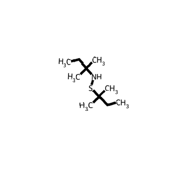 CCC(C)(C)NSC(C)(C)CC